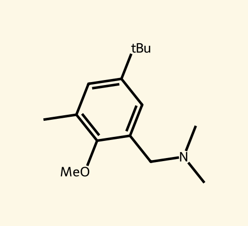 COc1c(C)cc(C(C)(C)C)cc1CN(C)C